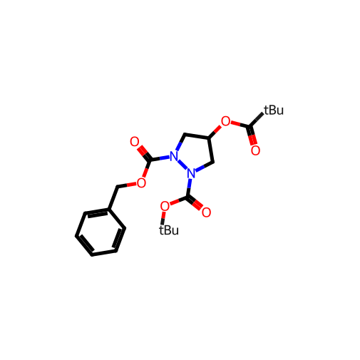 CC(C)(C)OC(=O)N1CC(OC(=O)C(C)(C)C)CN1C(=O)OCc1ccccc1